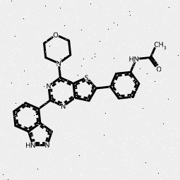 CC(=O)Nc1cccc(-c2cc3nc(-c4cccc5[nH]ncc45)nc(N4CCOCC4)c3s2)c1